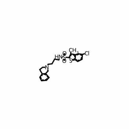 Cc1c(S(=O)(=O)NCCCCN2CCc3ccccc3C2)sc2ccc(Cl)cc12